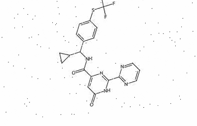 O=C(NC(c1ccc(SC(F)(F)F)cc1)C1CC1)c1cc(=O)[nH]c(-c2ncccn2)n1